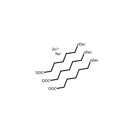 CCCCCCCCCCCCCCCC(=O)[O-].CCCCCCCCCCCCCCCC(=O)[O-].CCCCCCCCCCCCCCCC(=O)[O-].[Na+].[Zn+2]